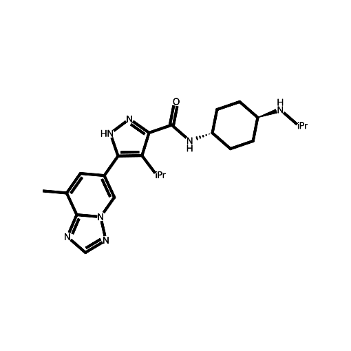 Cc1cc(-c2[nH]nc(C(=O)N[C@H]3CC[C@H](NC(C)C)CC3)c2C(C)C)cn2ncnc12